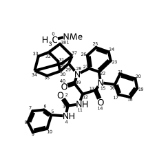 CNC.O=C(Nc1ccccc1)NC1C(=O)N(c2ccccc2)c2ccccc2N(C2C3CC4CC(C3)CC2C4)C1=O